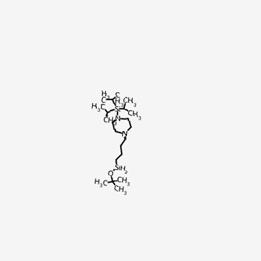 CC(C)[Si](C(C)C)(C(C)C)N1CCN(CCCC[SiH2]OC(C)(C)C)CC1